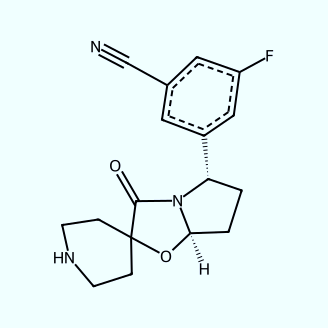 N#Cc1cc(F)cc([C@@H]2CC[C@H]3OC4(CCNCC4)C(=O)N32)c1